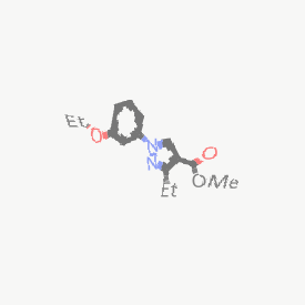 CCOc1cccc(-n2cc(C(=O)OC)c(CC)n2)c1